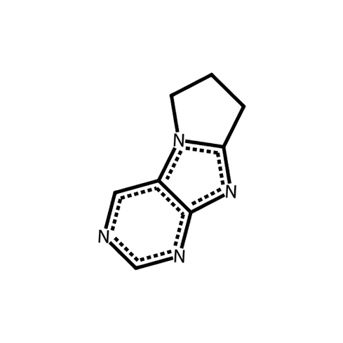 c1ncc2c(n1)nc1n2CCC1